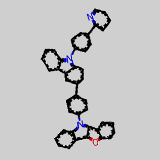 c1ccc(-c2ccc(-n3c4ccccc4c4cc(-c5ccc(-n6c7ccccc7c7oc8ccccc8c76)cc5)ccc43)cc2)nc1